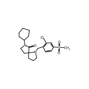 CS(=O)(=O)c1ccc(CN2CCCC23CCN(C2CCCCC2)C3=O)c(Cl)c1